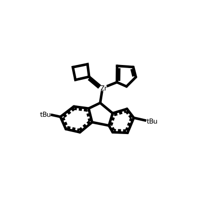 CC(C)(C)c1ccc2c(c1)[CH]([Zr]([C]1=CC=CC1)=[C]1CCC1)c1cc(C(C)(C)C)ccc1-2